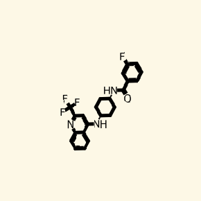 O=C(N[C@H]1CC[C@@H](Nc2cc(C(F)(F)F)nc3ccccc23)CC1)c1cccc(F)c1